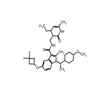 COC1CCC([C@@H](C)n2c(C)c(C(=O)NCC3C(=O)NC(C)=CC3SC)c3cc(OC4CC(F)(F)C4)ccc32)CC1